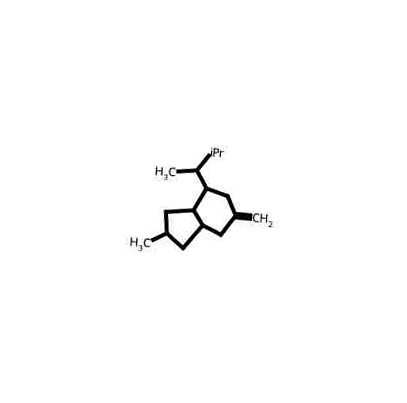 C=C1CC2CC(C)CC2C(C(C)C(C)C)C1